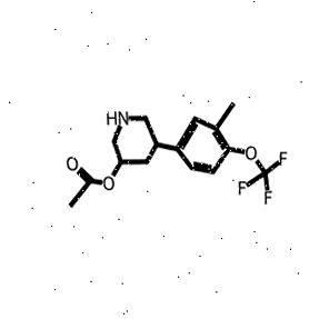 CC(=O)OC1CNCC(c2ccc(OC(F)(F)F)c(C)c2)C1